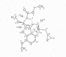 CCOC(=O)[C@H]1C[C@@]23C=C[C@]1(OC)[C@@H]1Oc4c(OC)ccc5c4[C@@]12CCN(CC1CC1)[C@@H]3C5